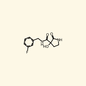 O=C1NCCC1(O)C(=O)NCc1cccc(F)c1